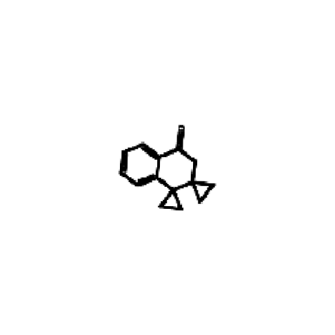 O=C1CC2(CC2)C2(CC2)c2ccccc21